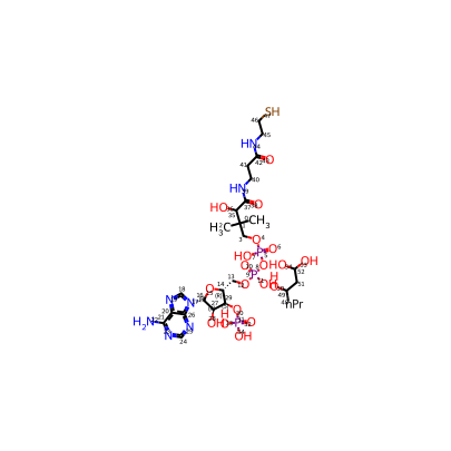 CC(C)(COP(=O)(O)OP(=O)(O)OC[C@H]1O[C@@H](n2cnc3c(N)ncnc32)[C@H](O)[C@@H]1OP(=O)(O)O)C(O)C(=O)NCCC(=O)NCCS.CCCC(O)CC(O)O